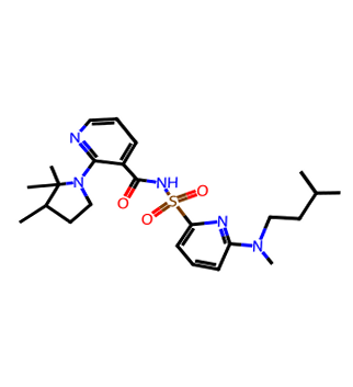 CC(C)CCN(C)c1cccc(S(=O)(=O)NC(=O)c2cccnc2N2CCC(C)C2(C)C)n1